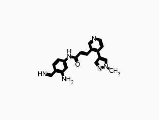 Cn1cc(-c2ccncc2/C=C/C(=O)Nc2ccc(C=N)c(N)c2)cn1